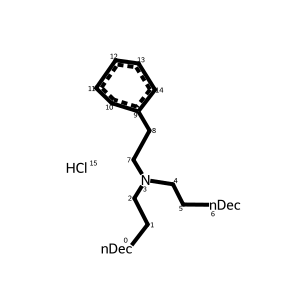 CCCCCCCCCCCCN(CCCCCCCCCCCC)CCc1ccccc1.Cl